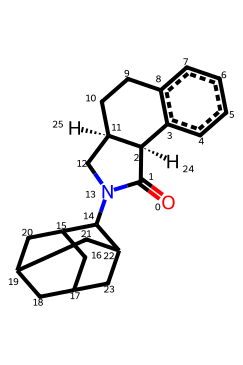 O=C1[C@@H]2c3ccccc3CC[C@@H]2CN1C1C2CC3CC(C2)CC1C3